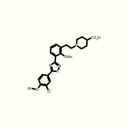 CCOC(=O)C1CCN(CCc2cccc(-c3nsc(-c4ccc(OC(C)C)c(Cl)c4)n3)c2OC)CC1